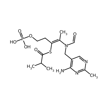 CC(=C(CCOP(=O)(O)O)SC(=O)C(C)C)N(C=O)Cc1cnc(C)nc1N